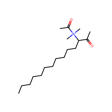 CCCCCCCCCCCC(C(C)=O)[N+](C)(C)C(C)=O